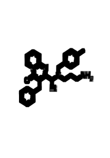 CCC(c1nc2ccccn2c(=O)c1Cc1ccccc1)N(CCCN)Cc1ccc(C)cc1